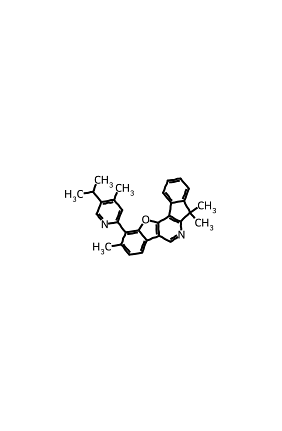 Cc1cc(-c2c(C)ccc3c2oc2c4c(ncc23)C(C)(C)c2ccccc2-4)ncc1C(C)C